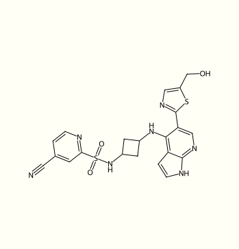 N#Cc1ccnc(S(=O)(=O)NC2CC(Nc3c(-c4ncc(CO)s4)cnc4[nH]ccc34)C2)c1